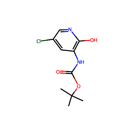 CC(C)(C)OC(=O)Nc1cc(Cl)cnc1O